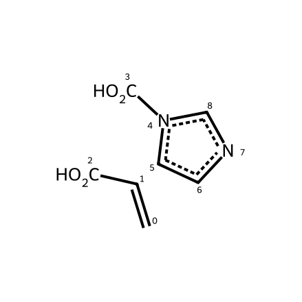 C=CC(=O)O.O=C(O)n1ccnc1